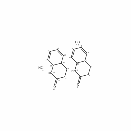 Cl.O.O=C1CCC2C=CC=CC2N1.O=C1CCC2C=CC=CC2N1